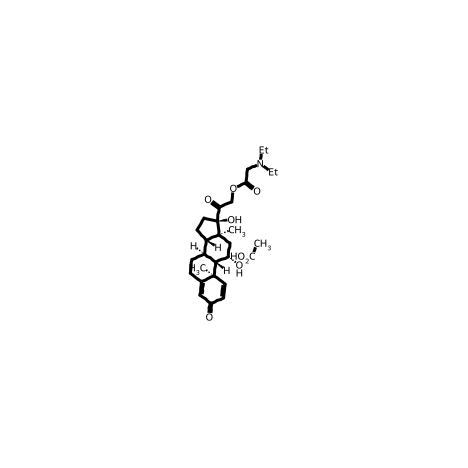 CC(=O)O.CCN(CC)CC(=O)OCC(=O)[C@@]1(O)CC[C@H]2[C@@H]3CCC4=CC(=O)C=C[C@]4(C)[C@H]3[C@@H](O)C[C@@]21C